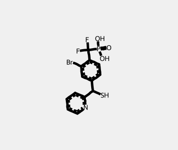 O=P(O)(O)C(F)(F)c1ccc(C(S)c2ccccn2)cc1Br